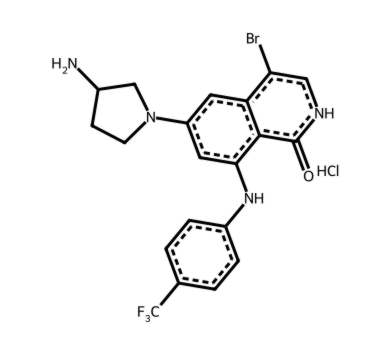 Cl.NC1CCN(c2cc(Nc3ccc(C(F)(F)F)cc3)c3c(=O)[nH]cc(Br)c3c2)C1